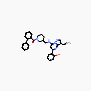 C=Cc1cnn2c(NCC3CCCN(C(=O)c4ccccc4-c4ccccc4)C3)cc(-c3ccccc3O)nc12